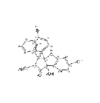 N#CC1C(=O)C2(O)c3ncc(Cl)cc3OC2(c2ccc(Br)cc2)C1c1ccccc1